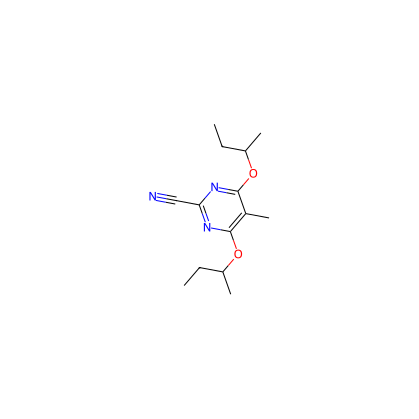 CCC(C)Oc1nc(C#N)nc(OC(C)CC)c1C